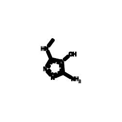 CNc1nnc(N)n1O